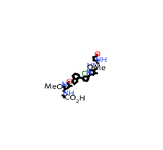 COc1nc(O[C@H]2CCc3c(-c4cccc(-c5cc(C)c(CN/C=C6\CCC(=O)N6)c(OC)n5)c4Cl)cccc32)c(C)cc1CNC(C)(C)C(=O)O